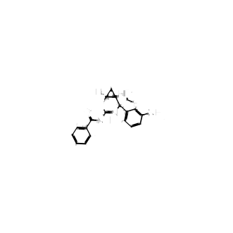 Nc1cccc([C@@]2(C(F)F)N=C(NC(=O)c3ccccc3)O[C@@H]3C[C@@H]32)c1